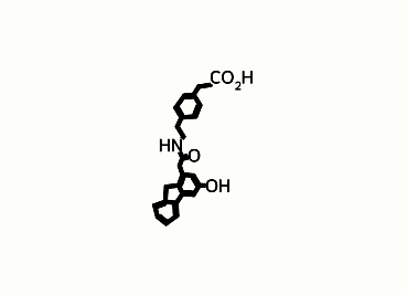 O=C(O)CCc1ccc(CCNC(=O)Cc2cc(O)cc3c2Cc2ccccc2-3)cc1